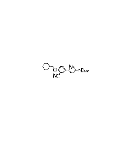 CCCCCCCCCCc1ccc(-c2ccc(OCC3CC[CH]CC3)c(C#N)c2)nc1